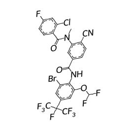 CN(C(=O)c1ccc(F)cc1Cl)c1cc(C(=O)Nc2c(Br)cc(C(F)(C(F)(F)F)C(F)(F)F)cc2OC(F)F)ccc1C#N